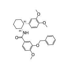 COc1ccc([C@H]2CCCC[C@H]2NC(=O)c2ccc(OC)c(OCc3ccccc3)c2)cc1OC